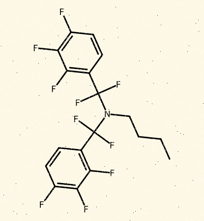 CCCCN(C(F)(F)c1ccc(F)c(F)c1F)C(F)(F)c1ccc(F)c(F)c1F